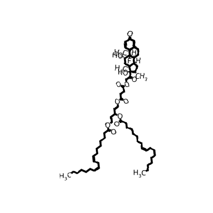 CCCCC/C=C\C/C=C\CCCCCCCC(=O)OC(CCOC(=O)CCCCCC/C=C\C/C=C\CCCCCC)CCOC(=O)CCC(=O)OCC(=O)[C@@]1(O)[C@H](C)C[C@H]2[C@@H]3CCC4=CC(=O)C=C[C@]4(C)[C@@]3(F)[C@@H](O)C[C@@]21C